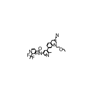 CCOCCN1C[C@H](C#N)Cc2ccc(-c3cc(NC(=O)c4ccnc(C(C)(F)F)c4)cnc3C)cc21